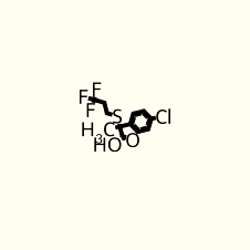 CC(SCCC(F)(F)F)(C(=O)O)c1ccc(Cl)cc1